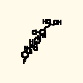 O=C(Nc1nc2ccc(F)cc2s1)N1CCN(c2ncc(CCC(O)CO)cc2Cl)CC1